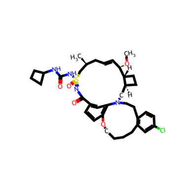 CO[C@H]1/C=C/C[C@H](C)CS(=O)(NC(=O)NC2CCC2)=NC(=O)c2ccc3c(c2)N(CCc2ccc(Cl)cc2CCCCO3)C[C@@H]2CC[C@H]21